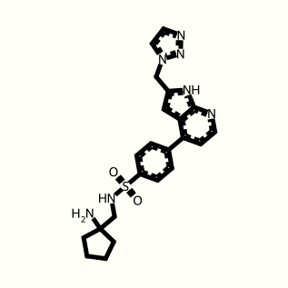 NC1(CNS(=O)(=O)c2ccc(-c3ccnc4[nH]c(Cn5ccnn5)cc34)cc2)CCCC1